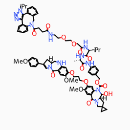 COc1ccc(C2=CN3C(=O)c4cc(OC)c(OCCCOc5cc6c(cc5OC)C(=O)N5CC7(CC7)C[C@H]5C(O)N6C(=O)OCc5ccc(NC(=O)[C@H](C)NC(=O)[C@@H](NC(=O)COCCOCCNC(=O)CCC(=O)N6Cc7ccccc7-c7c(nnn7C(C)C)-c7ccccc76)C(C)C)cc5)cc4NC[C@@H]3C2)cc1